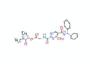 CN(C)C(=O)COC(=O)CNC(=O)c1ncc(C(=O)NC(c2ccccc2)c2ccccc2)c(O)n1